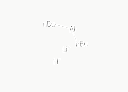 CCC[CH2][Al][CH2]CCC.[H-].[Li+]